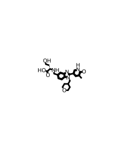 Cc1cc(-c2nc3cc(CN[C@@H](CCO)C(=O)O)ccc3n2CC2CCOCC2)c[nH]c1=O